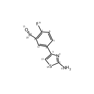 Nc1nc(-c2ccc(F)c(N=O)c2)cs1